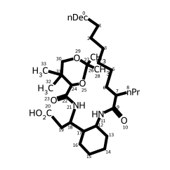 CCCCCCCCCCCCCCCCC(CCC)C(=O)NC1CCCCC1C(CC(=O)O)NC(=O)C1OC(C)(C)OCC1(C)C